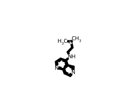 CN(C)CCNc1ccnc2ccncc12